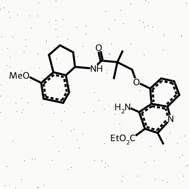 CCOC(=O)c1c(C)nc2cccc(OCC(C)(C)C(=O)NC3CCCc4c(OC)cccc43)c2c1N